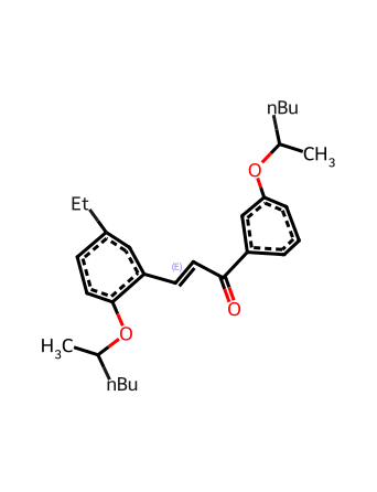 CCCCC(C)Oc1cccc(C(=O)/C=C/c2cc(CC)ccc2OC(C)CCCC)c1